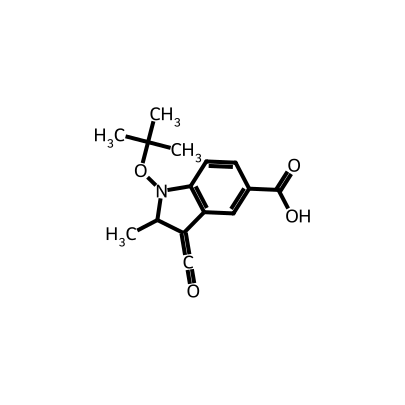 CC1C(=C=O)c2cc(C(=O)O)ccc2N1OC(C)(C)C